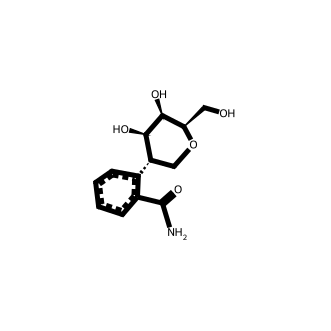 NC(=O)c1ccccc1[C@H]1CO[C@H](CO)[C@H](O)[C@@H]1O